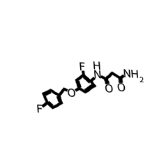 NC(=O)CC(=O)Nc1ccc(OCc2ccc(F)cc2)cc1F